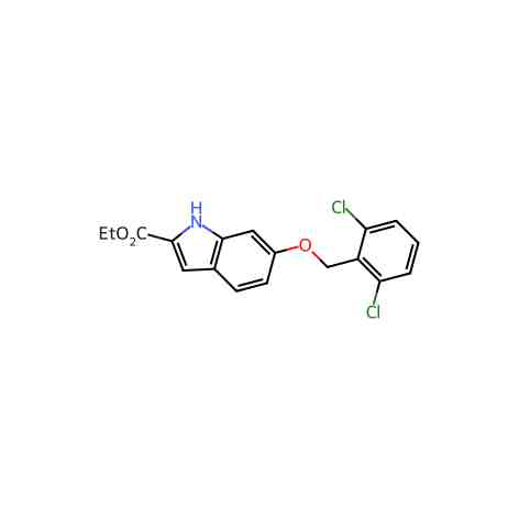 CCOC(=O)c1cc2ccc(OCc3c(Cl)cccc3Cl)cc2[nH]1